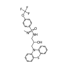 CN=S(=O)(NCC(O)CN1c2ccccc2Sc2ccccc21)c1ccc(OC(F)(F)F)cc1